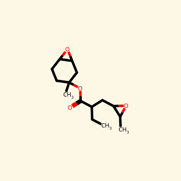 CCC(CC1OC1C)C(=O)OC1(C)CCC2OC2C1